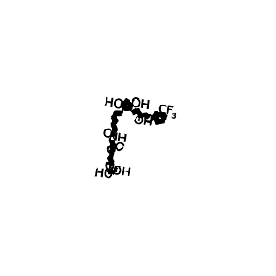 O=C(CCC/C=C\C[C@@H]1[C@@H](/C=C/[C@@H](O)COc2cccc(C(F)(F)F)c2)[C@H](O)C[C@@H]1O)NCC(=O)OCCCON(O)O